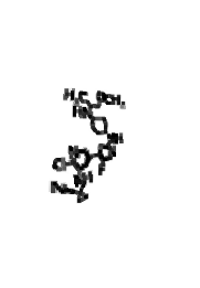 COC[C@H](C)N[C@H]1CC[C@H](Nc2cc(-c3cnc(Cl)c(NCC4(C#N)CC4)c3)c(F)cn2)CC1